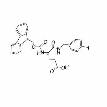 O=C(O)CC[C@H](NC(=O)OCC1c2ccccc2-c2ccccc21)C(=O)NCc1ccc(I)cc1